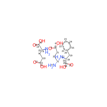 NCCCC(=O)O.N[C@@H](CCC(=O)O)C(=O)O.N[C@@H](Cc1ccccc1)C(=O)O